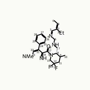 C/C=C(\C=N/CNC[C@@H]1C(C)CC(F)(F)CN1C(=O)C(=N)/C(=C\NC)c1ccccc1)CC